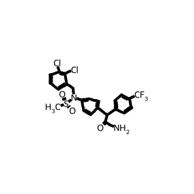 CS(=O)(=O)N(Cc1cccc(Cl)c1Cl)c1ccc(C(C(N)=O)c2ccc(C(F)(F)F)cc2)cc1